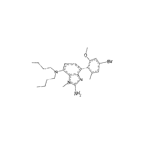 CCCCN(CCCC)c1ccc(-c2c(C)cc(Br)cc2OC)c2nc(N)n(C)c12